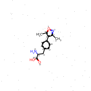 Cc1noc(C)c1-c1ccc(C[C@H](N)C(=O)O)cc1